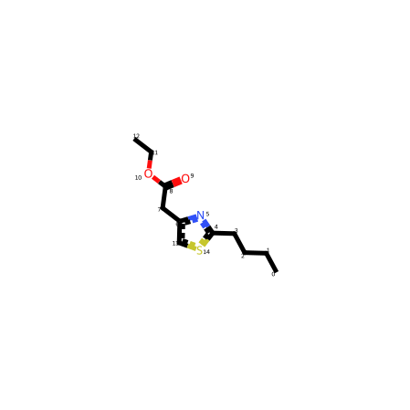 CCCCc1nc(CC(=O)OCC)cs1